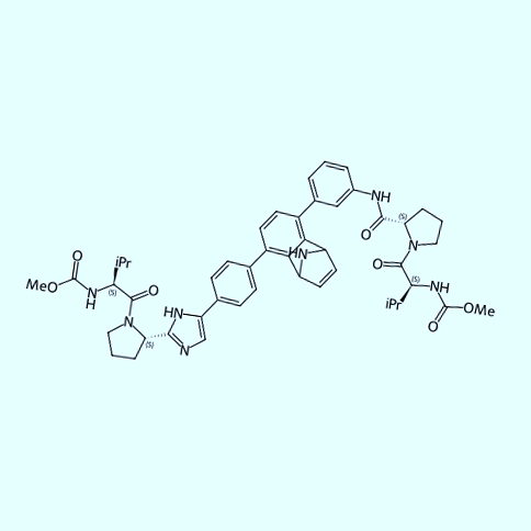 COC(=O)N[C@H](C(=O)N1CCC[C@H]1C(=O)Nc1cccc(-c2ccc(-c3ccc(-c4cnc([C@@H]5CCCN5C(=O)[C@@H](NC(=O)OC)C(C)C)[nH]4)cc3)c3c2C2C=CC3N2)c1)C(C)C